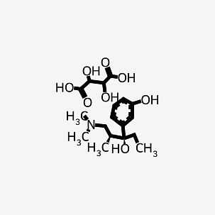 CC[C@](O)(c1cccc(O)c1)[C@@H](C)CN(C)C.O=C(O)C(O)C(O)C(=O)O